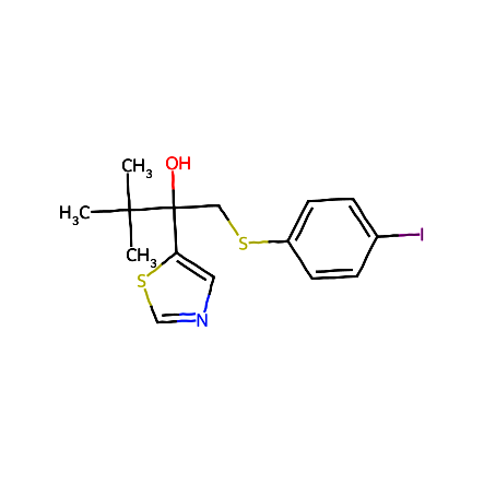 CC(C)(C)C(O)(CSc1ccc(I)cc1)c1cncs1